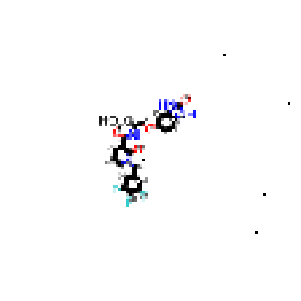 O=C(NC(COc1ccc2[nH]c(=O)[nH]c2c1)C(=O)O)c1cccn(Cc2cc(F)c(F)c(F)c2)c1=O